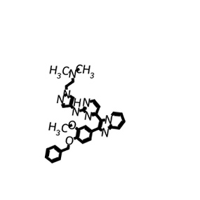 COc1cc(-c2nc3ccccn3c2-c2ccnc(Nc3cnn(CCN(C)C)c3)n2)ccc1OCc1ccccc1